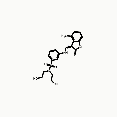 Cc1cccc2c1/C(=C/Nc1cccc(S(=O)(=O)N(CCO)CCO)c1)C(=O)N2